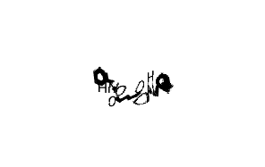 O=C(CCCC(=O)ONCc1ccccc1)ONCc1ccccc1